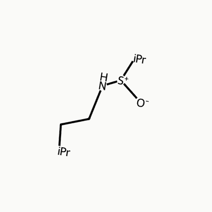 CC(C)CCN[S+]([O-])C(C)C